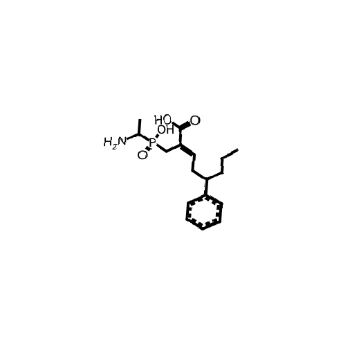 CCCC(CC=C(CP(=O)(O)C(C)N)C(=O)O)c1ccccc1